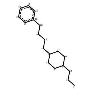 CCCC1CCC(CCCCc2ccccc2)CC1